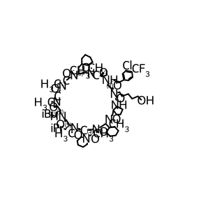 CC[C@H](C)[C@@H]1NC(=O)[C@H](CC(C)C)N(C)C(=O)C[C@@H](C(=O)N2CCCCC2)N(C)C(=O)C(C2CCCCC2)N(C)C(=O)C2(CCCC2)NC(=O)N(CCCCCO)C(=O)[C@@H](CCc2ccc(C(F)(F)F)c(Cl)c2)NC(=O)CN(C)C(=O)[C@H](CC2CCCCC2)N(C)C(=O)CN(C)C(=O)CN(C)C1=O